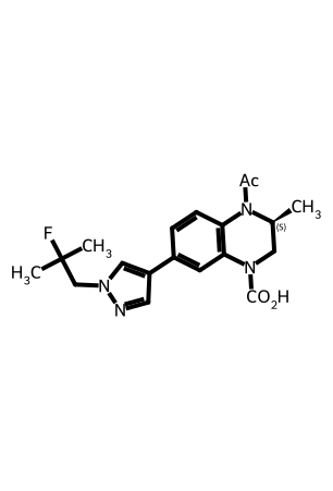 CC(=O)N1c2ccc(-c3cnn(CC(C)(C)F)c3)cc2N(C(=O)O)C[C@@H]1C